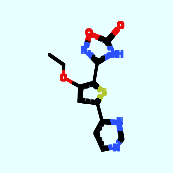 CCOc1cc(-c2ccncn2)sc1-c1noc(=O)[nH]1